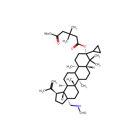 C=C(C)[C@@H]1CC[C@]2(CNC=O)CC[C@]3(C)[C@H](CCC4[C@@]5(C)CC[C@@](OC(=O)CC(C)(C)CC(=O)OC)(C6CC6)C(C)(C)[C@@H]5CC[C@]43C)[C@@H]12